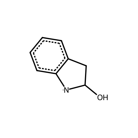 OC1Cc2ccccc2[N]1